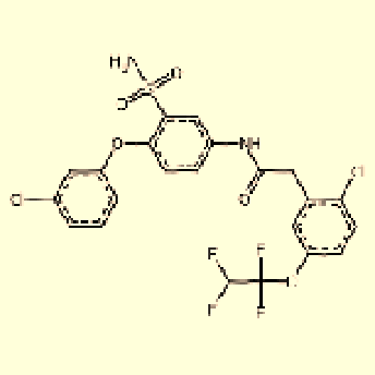 NS(=O)(=O)c1cc(NC(=O)Cc2cc(OC(F)(F)C(F)F)ccc2Cl)ccc1Oc1cccc(Cl)c1